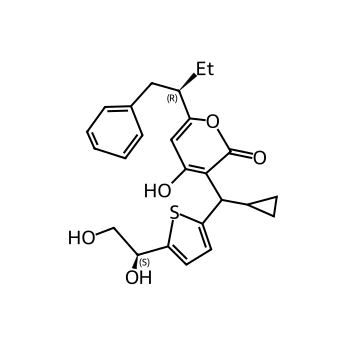 CC[C@H](Cc1ccccc1)c1cc(O)c(C(c2ccc([C@@H](O)CO)s2)C2CC2)c(=O)o1